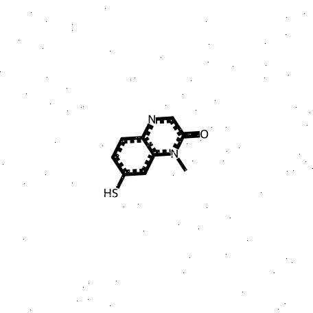 Cn1c(=O)cnc2ccc(S)cc21